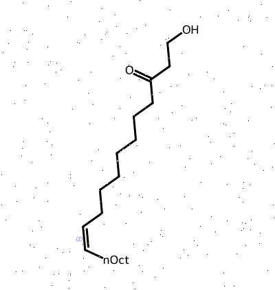 CCCCCCCC/C=C\CCCCCCCC(=O)CCO